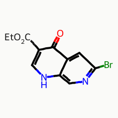 CCOC(=O)c1c[nH]c2cnc(Br)cc2c1=O